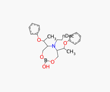 CCCCCCCCCCCCN1C(C(C)Oc2ccccc2)COB(O)OCC1C(C)Oc1ccccc1